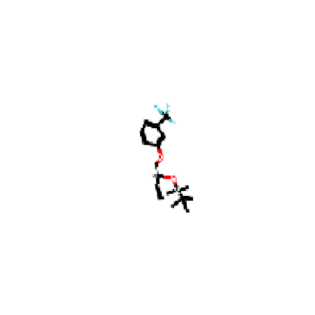 C=C[C@H](COc1cccc(C(F)(F)F)c1)O[Si](C)(C)C(C)(C)C